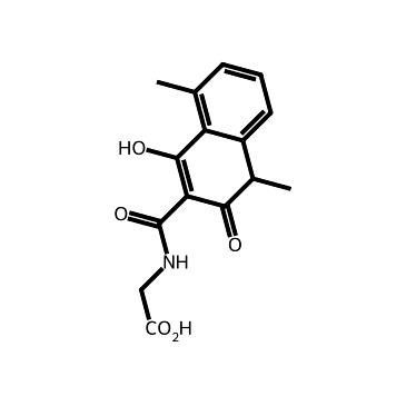 Cc1cccc2c1C(O)=C(C(=O)NCC(=O)O)C(=O)C2C